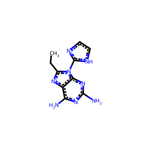 CCc1nc2c(N)nc(N)nc2n1-c1ncc[nH]1